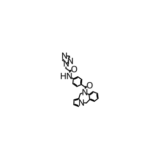 O=C(Cn1cncn1)Nc1ccc(C(=O)N2Cc3cccn3Cc3ccccc32)cc1